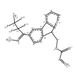 C=CC(=O)OCC1c2ccccc2-c2cc(/C(=N/C)C(F)(F)C(F)(F)C(F)(F)F)ccc21